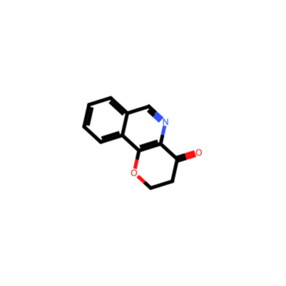 O=C1CCOc2c1n[c]c1ccccc21